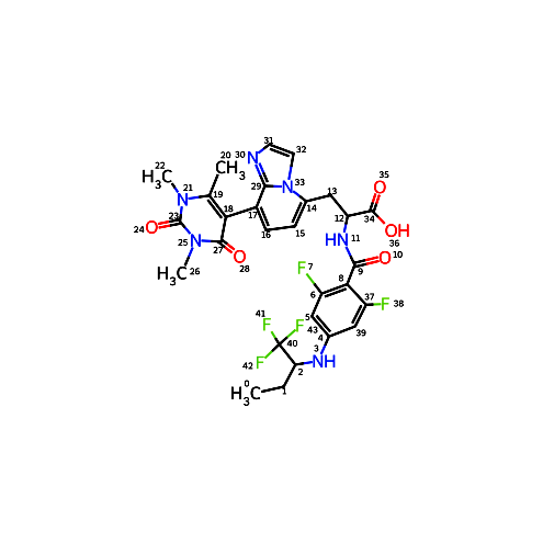 CCC(Nc1cc(F)c(C(=O)NC(Cc2ccc(-c3c(C)n(C)c(=O)n(C)c3=O)c3nccn23)C(=O)O)c(F)c1)C(F)(F)F